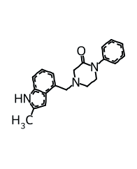 Cc1cc2c(CN3CCN(c4ccccc4)C(=O)C3)cccc2[nH]1